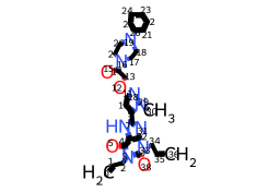 C=CCn1c(=O)c2[nH]c(-c3cc(OCC(=O)N4CCN(c5ccccc5)CC4)nn3C)nc2n(CC=C)c1=O